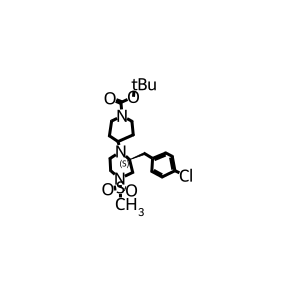 CC(C)(C)OC(=O)N1CCC(N2CCN(S(C)(=O)=O)C[C@@H]2Cc2ccc(Cl)cc2)CC1